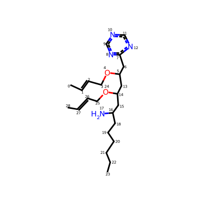 C/C=C/COC(Cc1ncncn1)CC(CC(N)CCCCCC)OC/C=C/C